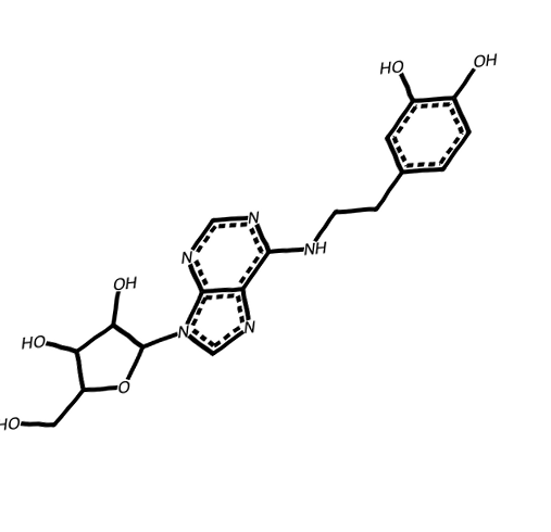 OCC1OC(n2cnc3c(NCCc4ccc(O)c(O)c4)ncnc32)C(O)C1O